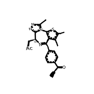 C#CC(=O)c1ccc(C2=N[C@@H](CC(C)=O)c3nnc(C)n3-c3sc(C)c(C)c32)cc1